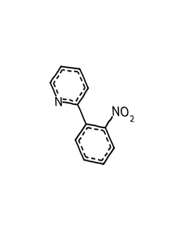 O=[N+]([O-])c1ccccc1-c1ccccn1